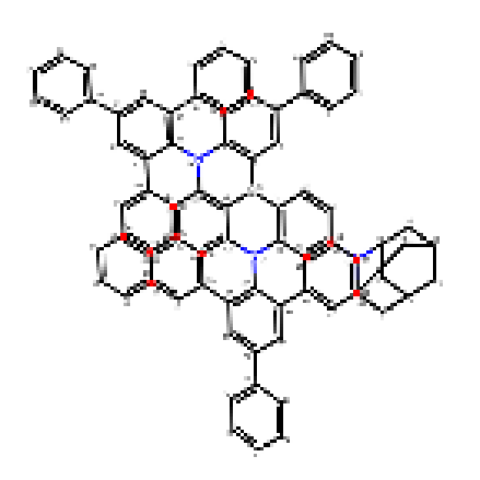 c1ccc(-c2ccc3c(c2)B2c4ccc(N5C6CC7CC(C6)CC5C7)cc4N(c4c(-c5ccccc5)cc(-c5ccccc5)cc4-c4ccccc4)c4cc(-c5ccccc5)cc(c42)N3c2c(-c3ccccc3)cc(-c3ccccc3)cc2-c2ccccc2)cc1